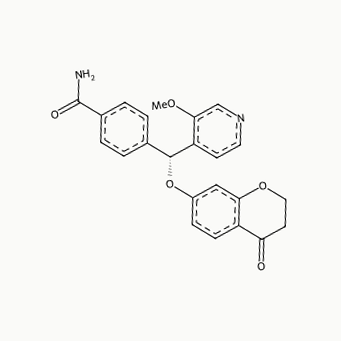 COc1cnccc1[C@H](Oc1ccc2c(c1)OCCC2=O)c1ccc(C(N)=O)cc1